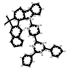 CC1(C)c2cc3ccccc3cc2-c2c1ccc1c3ccccc3n(-c3ncc(-c4nc(-c5ccccc5)nc(-c5ccccc5)n4)cn3)c21